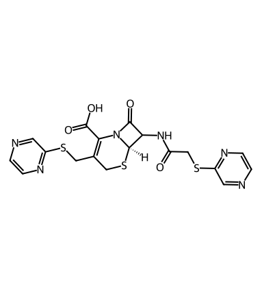 O=C(CSc1cnccn1)NC1C(=O)N2C(C(=O)O)=C(CSc3cnccn3)CS[C@H]12